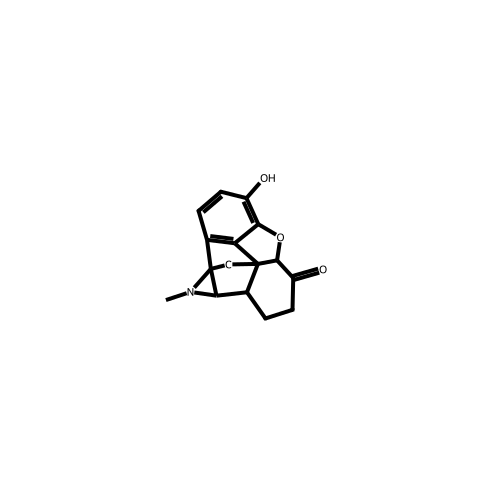 CN1C2C3CCC(=O)C4Oc5c(O)ccc6c5C43CC621